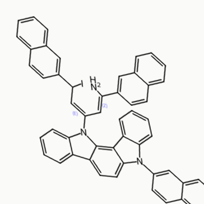 N/C(=C\C(=C/C(I)c1ccc2ccccc2c1)n1c2ccccc2c2ccc3c(c4ccccc4n3-c3ccc4ccccc4c3)c21)c1ccc2ccccc2c1